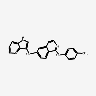 Cc1ccc(Nc2nccc3cc(Nc4n[nH]c5cccnc45)ccc23)cc1